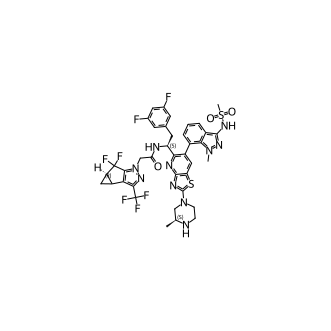 C[C@H]1CN(c2nc3nc([C@H](Cc4cc(F)cc(F)c4)NC(=O)Cn4nc(C(F)(F)F)c5c4C(F)(F)[C@@H]4CC54)c(-c4cccc5c(NS(C)(=O)=O)nn(C)c45)cc3s2)CCN1